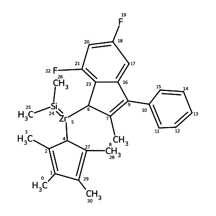 CC1=C(C)[CH]([Zr]([CH]2C(C)=C(c3ccccc3)c3cc(F)cc(F)c32)=[Si](C)C)C(C)=C1C